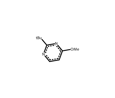 COc1ccnc(C(C)(C)C)n1